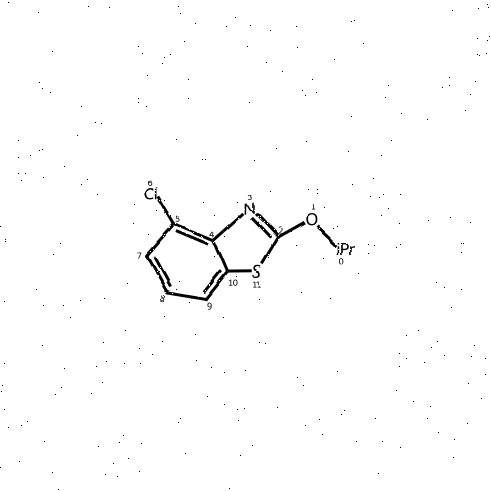 CC(C)Oc1nc2c(Cl)cccc2s1